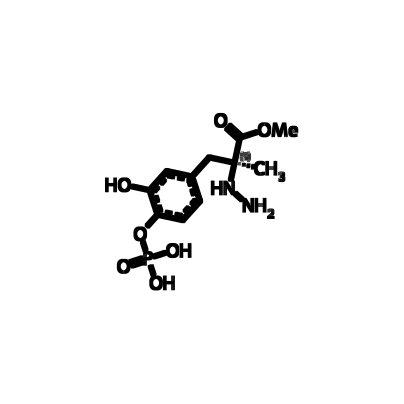 COC(=O)[C@](C)(Cc1ccc(OP(=O)(O)O)c(O)c1)NN